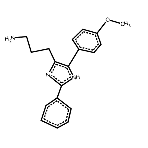 COc1ccc(-c2[nH]c(-c3ccccc3)nc2CCCN)cc1